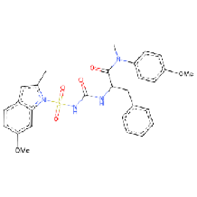 COc1ccc(N(C)C(=O)C(Cc2ccccc2)NC(=O)NS(=O)(=O)n2c(C)cc3ccc(OC)cc32)cc1